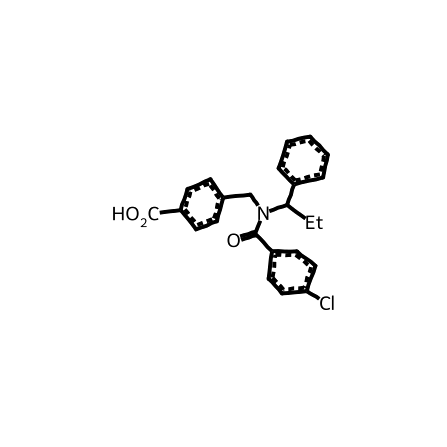 CCC(c1ccccc1)N(Cc1ccc(C(=O)O)cc1)C(=O)c1ccc(Cl)cc1